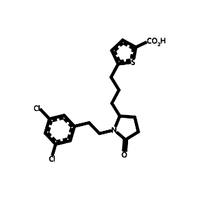 O=C(O)c1ccc(CCCC2CCC(=O)N2CCc2cc(Cl)cc(Cl)c2)s1